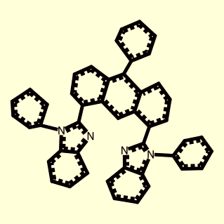 c1ccc(-c2c3cccc(-c4nc5ccccc5n4-c4ccccc4)c3cc3c(-c4nc5ccccc5n4-c4ccccc4)cccc23)cc1